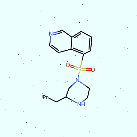 CC(C)CC1CN(S(=O)(=O)c2cccc3cnccc23)CCN1